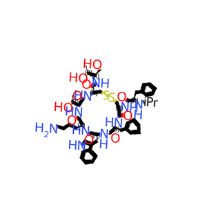 CC(C)N[C@H](Cc1ccccc1)C(=O)N[C@H]1CSSC[C@@H](C(=O)N[C@H](CO)[C@@H](C)O)NC(=O)C([C@@H](C)O)NC(=O)[C@H](CCCCN)NC(=O)[C@@H](Cc2c[nH]c3ccccc23)NC(=O)[C@H](Cc2ccccc2)NC1=O